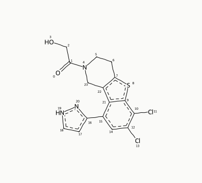 O=C(CO)N1CCc2sc3c(Cl)c(Cl)cc(-c4cc[nH]n4)c3c2C1